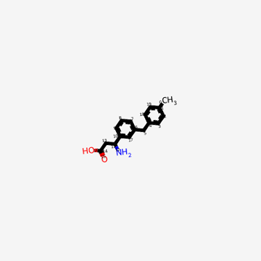 Cc1ccc(Cc2cccc(C(N)CC(=O)O)c2)cc1